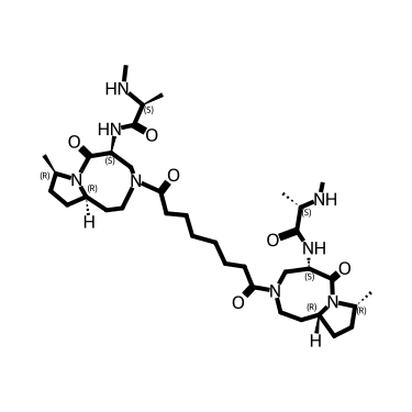 CN[C@@H](C)C(=O)N[C@H]1CN(C(=O)CCCCCCC(=O)N2CC[C@H]3CC[C@@H](C)N3C(=O)[C@@H](NC(=O)[C@H](C)NC)C2)CC[C@H]2CC[C@@H](C)N2C1=O